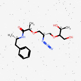 C[C@H](O)C(CO)OC[C@@H](CO[C@H](C)C(=O)N[C@@H](C)Cc1ccccc1)N=[N+]=[N-]